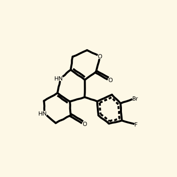 O=C1CNCC2=C1C(c1ccc(F)c(Br)c1)C1=C(CCOC1=O)N2